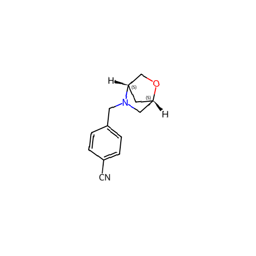 N#Cc1ccc(CN2C[C@@H]3C[C@H]2CO3)cc1